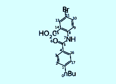 CCCCc1ccc(C(=O)Nc2ccc(Br)cc2C(=O)O)cc1